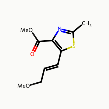 COCC=Cc1sc(C)nc1C(=O)OC